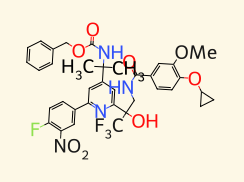 COc1cc(C(=O)NCC(O)(c2cc(C(C)(C)NC(=O)OCc3ccccc3)cc(-c3ccc(F)c([N+](=O)[O-])c3)n2)C(F)(F)F)ccc1OC1CC1